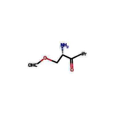 CC(C)C(=O)[C@@H](N)COC=O